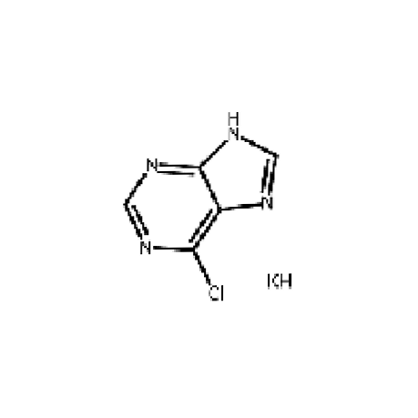 Clc1ncnc2[nH]cnc12.[KH]